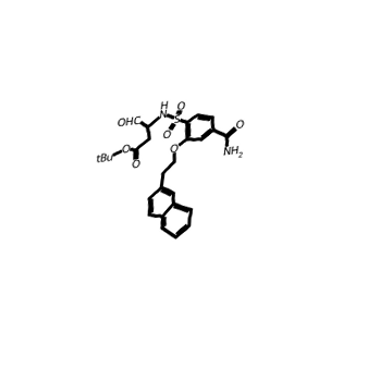 CC(C)(C)OC(=O)CC(C=O)NS(=O)(=O)c1ccc(C(N)=O)cc1OCCc1ccc2ccccc2c1